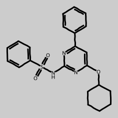 O=S(=O)(Nc1nc(OC2CCCCC2)cc(-c2ccccc2)n1)c1ccccc1